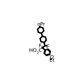 CCCC1CCC(C2CCC(C(F)C(F)(C(=O)O)c3ccc(OCC)cc3)CC2)CC1